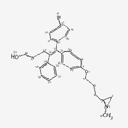 CN1CC1CCCOc1ccc(/C(=C(/CCCO)c2ccccc2)c2ccc(Br)cc2)cc1